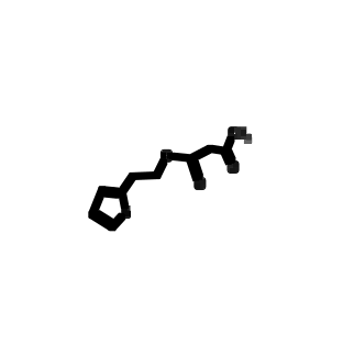 CC(=O)CC(=O)OCCc1cccs1